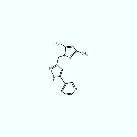 Cc1cc(C)n(Cc2cc(-c3cccnc3)[nH]n2)n1